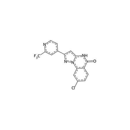 O=c1[nH]c2cc(-c3ccnc(C(F)(F)F)c3)nn2c2cc(Cl)ccc12